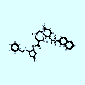 O=C1CC(NC(=O)C2CNCN3C(=O)CCC(NS(=O)(=O)c4ccc5ccccc5c4)[N+]3([O-])C2)C(OCc2ccccc2)O1